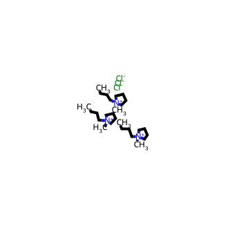 CCCC[N+]1(C)CCCC1.CCCC[N+]1(C)CCCC1.CCCC[N+]1(C)CCCC1.[Cl-].[Cl-].[Cl-]